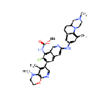 Cc1cc(Nc2cc3cc(-c4cnc5c(c4C)N(C(=O)O)CCO5)c(F)c(NC(=O)OC(C)(C)C)c3cn2)cc2c1N1CCN(C)CC1CC2